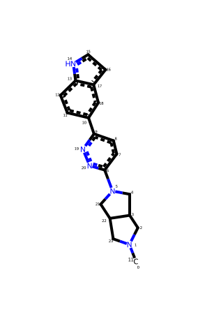 [11CH3]N1CC2CN(c3ccc(-c4ccc5[nH]ccc5c4)nn3)CC2C1